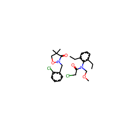 CC1(C)CON(Cc2ccccc2Cl)C1=O.CCc1cccc(CC)c1N(COC)C(=O)CCl